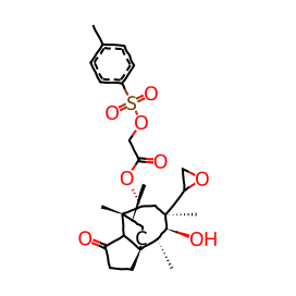 Cc1ccc(S(=O)(=O)OCC(=O)O[C@@H]2C[C@@](C)(C3CO3)[C@@H](O)[C@H](C)[C@]34CCC(=O)C3[C@@]2(C)[C@H](C)CC4)cc1